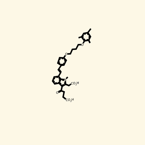 Cc1cc(C)c(OCCCCOc2ccc(C=Cc3cccc4c(C(=O)CCC(=O)O)c(CC(=O)O)n(C)c34)cc2)c(C)c1